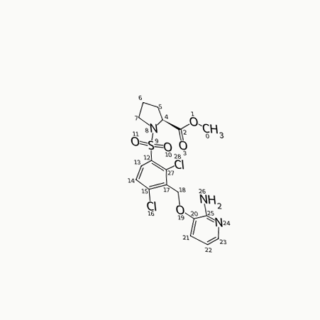 COC(=O)[C@@H]1CCCN1S(=O)(=O)c1ccc(Cl)c(COc2cccnc2N)c1Cl